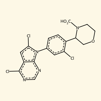 O=C(O)N1CCOCC1c1ccc(-n2c(Cl)cc3c(Cl)ncnc32)cc1Cl